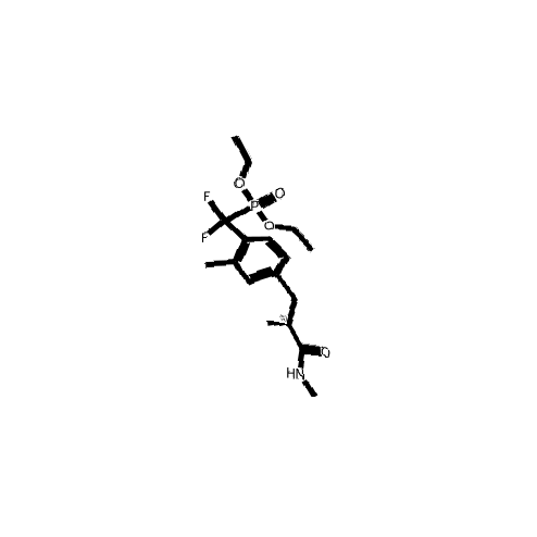 CCOP(=O)(OCC)C(F)(F)c1ccc(C[C@H](C)C(=O)NC)cc1C